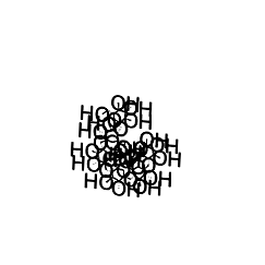 OC[C@H]1O[C@@H](O[C@H]2[C@H](O)[C@@H](O)[C@H](O[C@H]3[C@H](O)[C@@H](O)[C@H](O[C@H]4[C@H](O)[C@@H](O)[C@H](O[C@H]5[C@H](O)[C@@H](O)[C@H](O[C@H]6[C@H](O)[C@@H](O)[C@H](O)O[C@@H]6CO)O[C@@H]5CO)O[C@@H]4CO)O[C@@H]3CO)O[C@@H]2CO)[C@H](O)[C@@H](O)[C@@H]1O